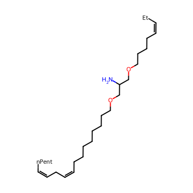 CC/C=C\CCCCOCC(N)COCCCCCCCC/C=C\C/C=C\CCCCC